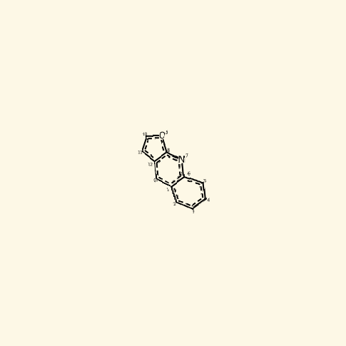 [c]1c2ccccc2nc2occc12